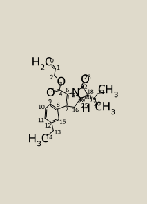 C=CCOC(=O)C1=C(c2cccc(CC)c2)C[C@@H]2[C@@H](C(C)C)C(=O)N12